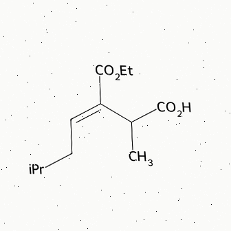 CCOC(=O)/C(=C/CC(C)C)C(C)C(=O)O